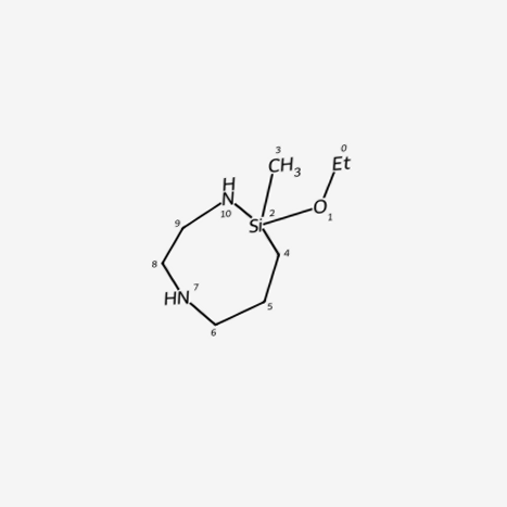 CCO[Si]1(C)CCCNCCN1